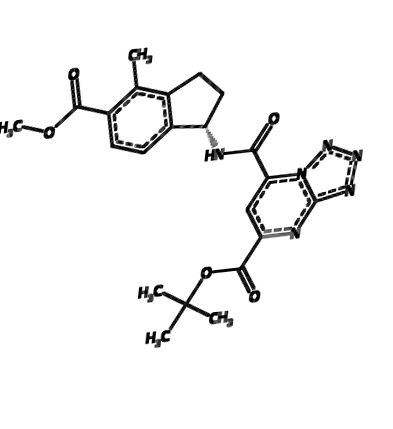 COC(=O)c1ccc2c(c1C)CC[C@@H]2NC(=O)c1cc(C(=O)OC(C)(C)C)nc2nnnn12